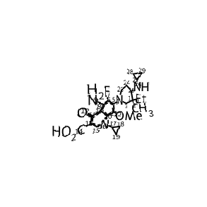 CCC1(C)CN(c2c(F)c(N)c3c(=O)c(C(=O)O)cn(C4CC4)c3c2OC)CCC1NC1CC1